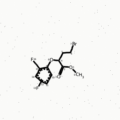 COC(=O)C(CCBr)Oc1ccc(F)cc1F